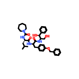 CC(C)C[C@H](NC(=O)N1CCCCCC1)C(=O)NC(Cc1ccc(OCc2ccccc2)cc1)C(=O)NC(CO)[C@@H](O)c1ccccc1